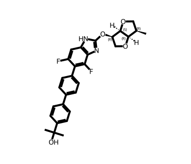 C[C@@H]1CO[C@H]2[C@@H]1OC[C@H]2Oc1nc2c(F)c(-c3ccc(-c4ccc(C(C)(C)O)cc4)cc3)c(F)cc2[nH]1